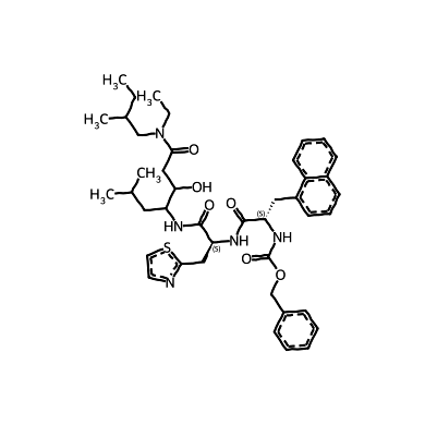 CCC(C)CN(CC)C(=O)CC(O)C(CC(C)C)NC(=O)[C@H](Cc1nccs1)NC(=O)[C@H](Cc1cccc2ccccc12)NC(=O)OCc1ccccc1